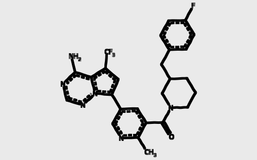 Cc1ncc(-c2cc(C(F)(F)F)c3c(N)ncnn23)cc1C(=O)N1CCCC(Cc2ccc(F)cc2)C1